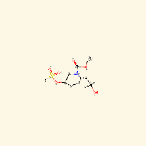 CC(C)(O)CC1CCC(OS(C)(=O)=O)CN1C(=O)OC(C)(C)C